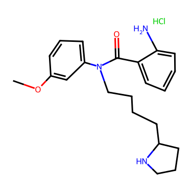 COc1cccc(N(CCCCC2CCCN2)C(=O)c2ccccc2N)c1.Cl